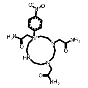 NC(=O)CN1CCNCC[N+](CC(N)=O)(c2ccc([N+](=O)[O-])cc2)CCN(CC(N)=O)CC1